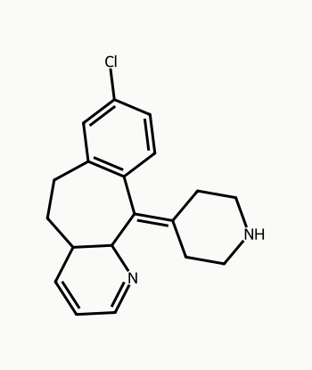 Clc1ccc2c(c1)CCC1C=CC=NC1C2=C1CCNCC1